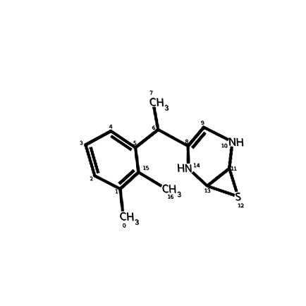 Cc1cccc(C(C)C2=CNC3SC3N2)c1C